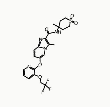 Cc1c(C(=O)NC2(C)CCS(=O)(=O)CC2)nc2ccc(Oc3ncccc3OCC(F)(F)F)cn12